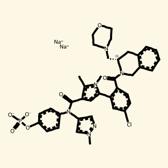 Cc1c(C(=O)N(c2ccc(OP(=O)([O-])[O-])cc2)c2cnn(C)c2)cc(-c2cc(Cl)ccc2C(=O)N2Cc3ccccc3C[C@H]2CN2CCOCC2)n1C.[Na+].[Na+]